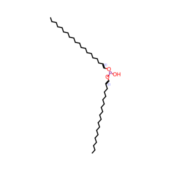 CCCCCCCCCCCCCCCCCC/C=C/OP(O)O/C=C/CCCCCCCCCCCCCCCCCC